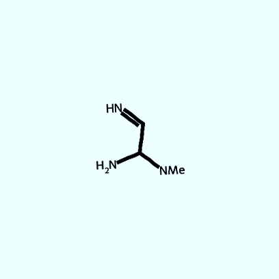 CNC(N)C=N